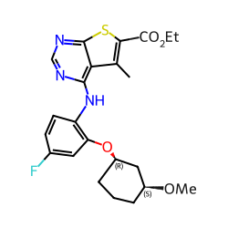 CCOC(=O)c1sc2ncnc(Nc3ccc(F)cc3O[C@@H]3CCC[C@H](OC)C3)c2c1C